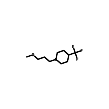 COCCCN1CCC(C(F)(F)F)CC1